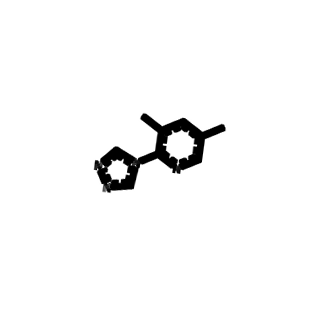 Cc1cnc(-n2cnnc2)c(C)c1